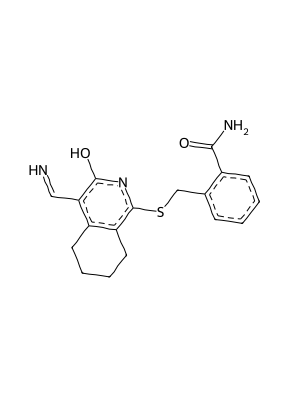 N=Cc1c(O)nc(SCc2ccccc2C(N)=O)c2c1CCCC2